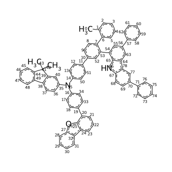 Cc1ccccc1-c1ccc(-c2ccc(N(c3ccc(-c4cccc5c4oc4ccccc45)cc3)c3ccc4c(c3)C(C)(C)c3ccccc3-4)cc2)cc1-c1cc(-c2ccccc2)cc2c1[nH]c1ccc(-c3ccccc3)cc12